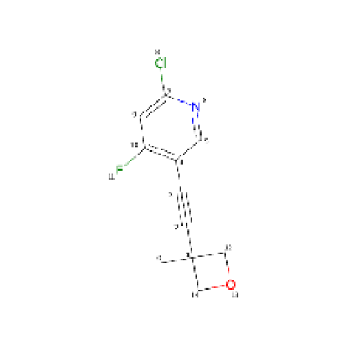 CC1(C#Cc2cnc(Cl)cc2F)COC1